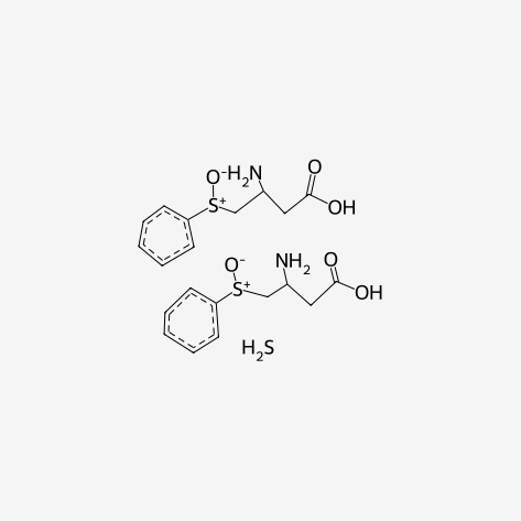 NC(CC(=O)O)C[S+]([O-])c1ccccc1.NC(CC(=O)O)C[S+]([O-])c1ccccc1.S